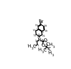 CCCN(C(=O)OC(C)(C)C)[C@@H]1CCc2cc(Br)ccc2C1